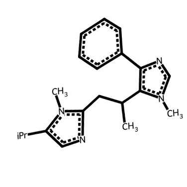 CC(C)c1cnc(CC(C)c2c(-c3ccccc3)ncn2C)n1C